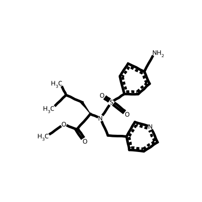 COC(=O)[C@@H](CC(C)C)N(Cc1cccnc1)S(=O)(=O)c1ccc(N)cc1